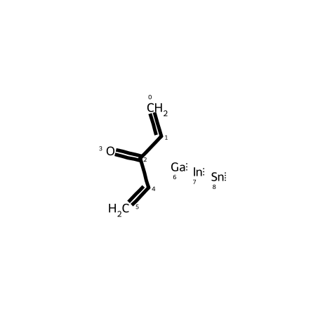 C=CC(=O)C=C.[Ga].[In].[Sn]